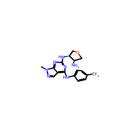 Cn1ncc2c(Nc3ccc(C(F)(F)F)cc3)nc(N[C@H]3COC[C@H]3N)nc21